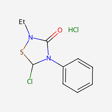 CCN1SC(Cl)N(c2ccccc2)C1=O.Cl